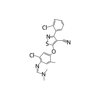 Cc1cc(/N=C\N(C)C)c(Cl)cc1Oc1snc(-c2ccccc2Cl)c1C#N